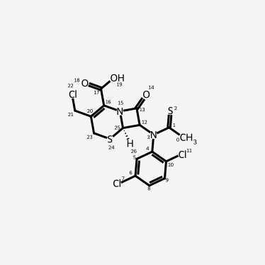 CC(=S)N(c1cc(Cl)ccc1Cl)C1C(=O)N2C(C(=O)O)=C(CCl)CS[C@H]12